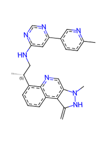 C=C1NN(C)c2cnc3c([C@H](C)CNc4cc(-c5ccc(C)nc5)ncn4)cccc3c21